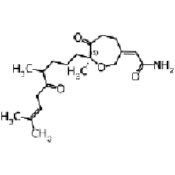 CC(C)=CCC(=O)C(C)CCC[C@]1(C)OCC(=CC(N)=O)CCC1=O